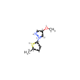 COc1cnn(-c2ccc(C)s2)c1